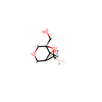 BC1O[C@@]2(CO)COCC1[C@H]2O